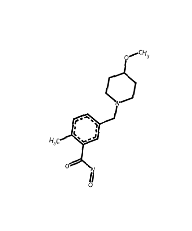 COC1CCN(Cc2ccc(C)c(C(=O)N=O)c2)CC1